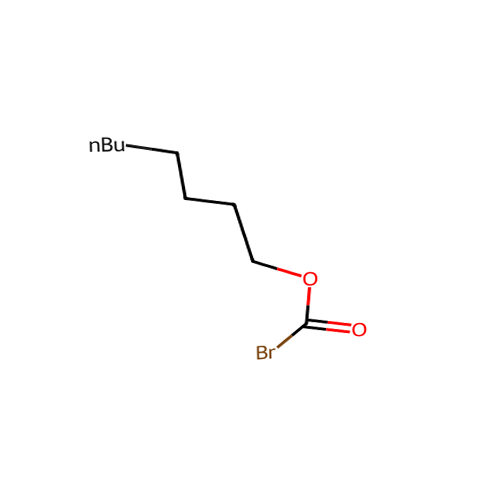 CCCCCCCCOC(=O)Br